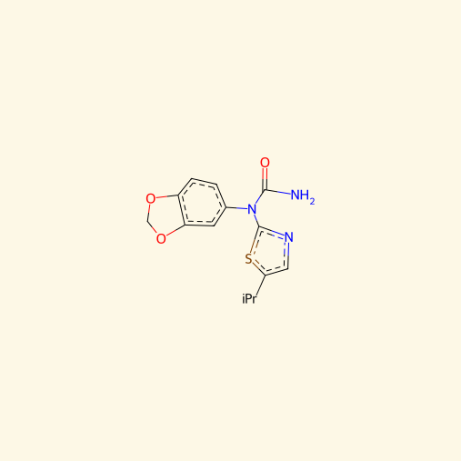 CC(C)c1cnc(N(C(N)=O)c2ccc3c(c2)OCO3)s1